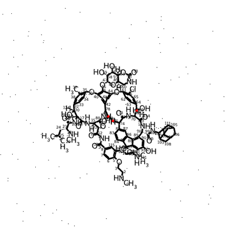 CNCCOc1ccc(C(=O)NC(=O)C[C@@H]2NC(=O)[C@H](NC(=O)[C@@H](CC(C)C)NC)[C@H](O)c3ccc(c(C)c3)Oc3cc4cc(c3O[C@@H]3O[C@@H]5CNC(=O)O[C@H]5[C@H](O)[C@H]3O)Oc3ccc(cc3Cl)[C@@H](O)[C@@H]3NC(=O)[C@H](NC(=O)[C@@H]4NC2=O)c2ccc4c(c2)-c2c(cc(O)cc2C4(O)O)[C@@H](C(=O)NC2C4CC5CC(C4)CC2C5)NC3=O)cc1OCCNC